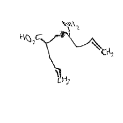 C=CCC(C(=O)O)N(N)CC=C